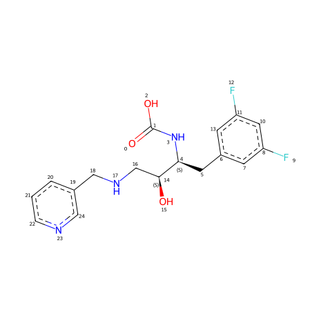 O=C(O)N[C@@H](Cc1cc(F)cc(F)c1)[C@@H](O)CNCc1cccnc1